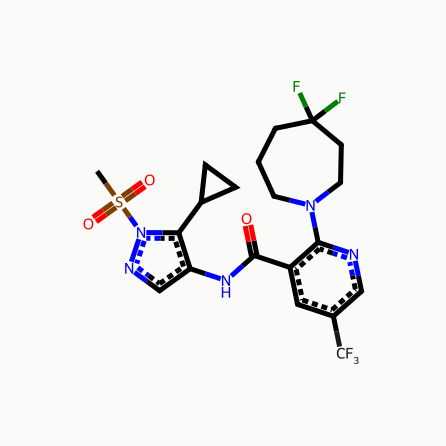 CS(=O)(=O)n1ncc(NC(=O)c2cc(C(F)(F)F)cnc2N2CCCC(F)(F)CC2)c1C1CC1